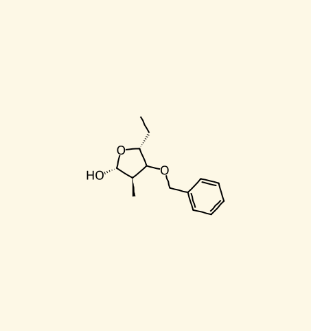 CC[C@H]1O[C@@H](O)[C@H](C)C1OCc1ccccc1